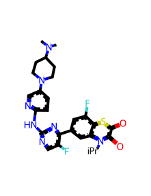 CC(C)n1c(=O)c(=O)sc2c(F)cc(-c3nc(Nc4ccc(N5CCC(N(C)C)CC5)cn4)ncc3F)cc21